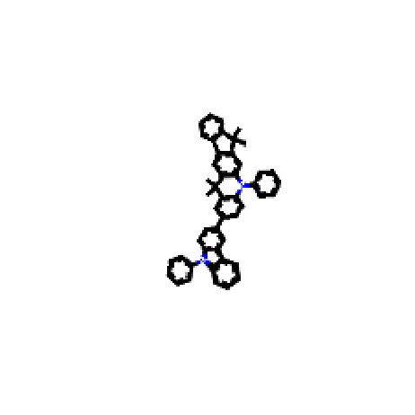 CC1(C)c2ccccc2-c2cc3c(cc21)N(c1ccccc1)c1ccc(-c2ccc4c(c2)c2ccccc2n4-c2ccccc2)cc1C3(C)C